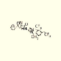 C[C@H](c1ccc(CC(F)(F)F)cc1CC(F)(F)F)n1cc(NC(=O)c2cc(-c3ccco3)on2)cn1